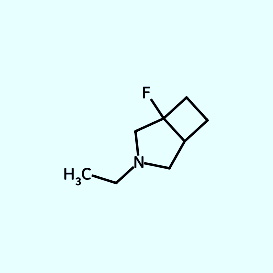 CCN1CC2CCC2(F)C1